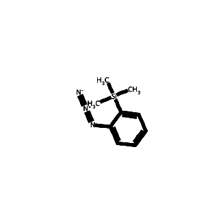 C[Si](C)(C)c1ccccc1N=[N+]=[N-]